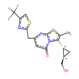 Cc1sc2nc(Cc3nc(C(F)(F)F)cs3)cc(=O)n2c1[C@@H]1C[C@H]1CO